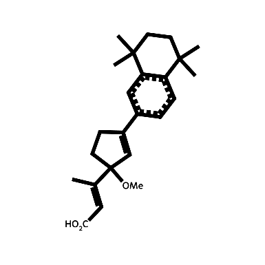 COC1(C(C)=CC(=O)O)C=C(c2ccc3c(c2)C(C)(C)CCC3(C)C)CC1